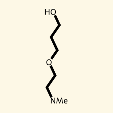 CNCCOCCCO